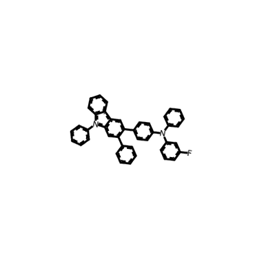 Fc1cccc(N(c2ccccc2)c2ccc(-c3cc4c5ccccc5n(-c5ccccc5)c4cc3-c3ccccc3)cc2)c1